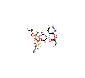 CCC(=O)Oc1ccccn1.CCOP(=S)(OCC)OP(=S)(OCC)OCC